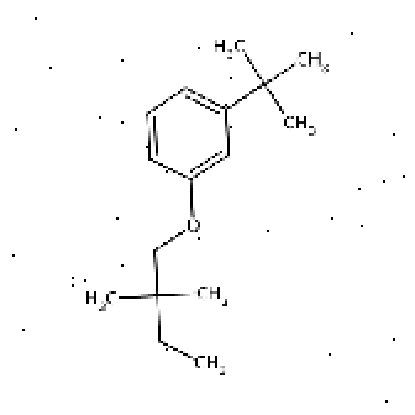 CCC(C)(C)COc1cccc(C(C)(C)C)c1